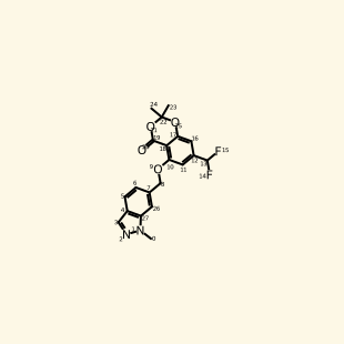 Cn1ncc2ccc(COc3cc(C(F)F)cc4c3C(=O)OC(C)(C)O4)cc21